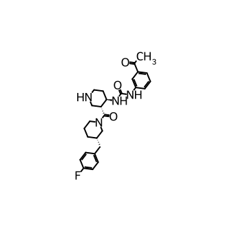 CC(=O)c1cccc(NC(=O)N[C@@H]2CCNC[C@H]2C(=O)N2CCC[C@@H](Cc3ccc(F)cc3)C2)c1